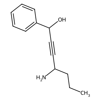 CCCC(N)C#CC(O)c1ccccc1